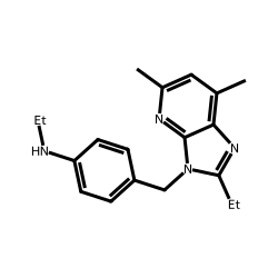 CCNc1ccc(Cn2c(CC)nc3c(C)cc(C)nc32)cc1